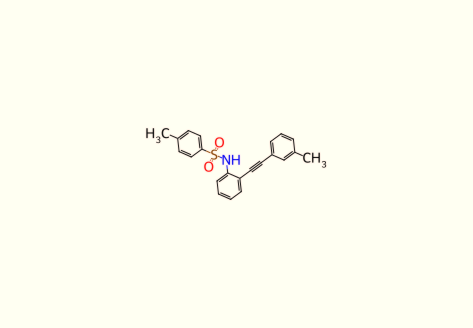 Cc1ccc(S(=O)(=O)Nc2ccccc2C#Cc2cccc(C)c2)cc1